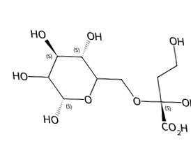 O=C(O)[C@](O)(CCO)OCC1O[C@H](O)C(O)[C@@H](O)[C@@H]1O